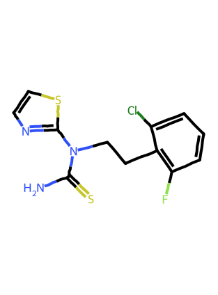 NC(=S)N(CCc1c(F)cccc1Cl)c1nccs1